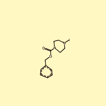 O=C(OCc1ccccc1)N1CCN(I)CC1